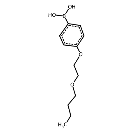 CCCCOCCOc1ccc(B(O)O)cc1